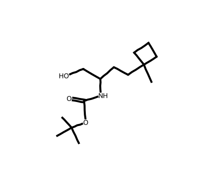 CC1(CCC(CO)NC(=O)OC(C)(C)C)CCC1